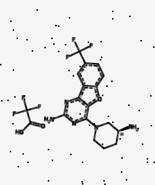 Nc1nc(N2CCC[C@H](N)C2)c2oc3ccc(C(F)(F)F)cc3c2n1.O=C(O)C(F)(F)F